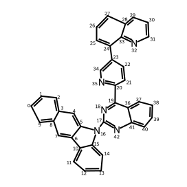 c1ccc2cc3c(cc2c1)c1ccccc1n3-c1nc(-c2ccc(-c3cccc4cccnc34)cn2)c2ccccc2n1